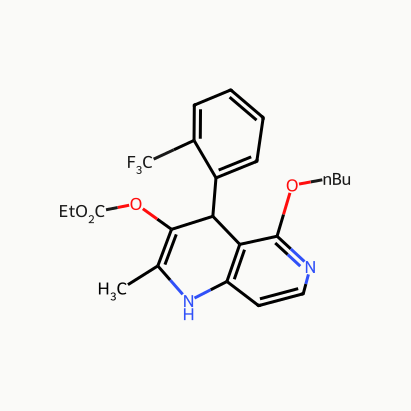 CCCCOc1nccc2c1C(c1ccccc1C(F)(F)F)C(OC(=O)OCC)=C(C)N2